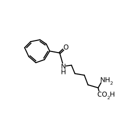 NC(CCCCNC(=O)C1=C/C=C\C=C/C=C\1)C(=O)O